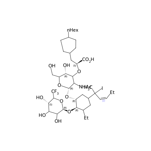 CC/C=C\C(C)(I)C1CC(CC)[C@@H](O[C@@H]2OC(C(F)(F)F)[C@@H](O)C(O)C2O)[C@H](O[C@@H]2OC(CO)[C@H](O)C(O[C@@H](CC3CCC(CCCCCC)CC3)C(=O)O)C2NC(C)=O)C1